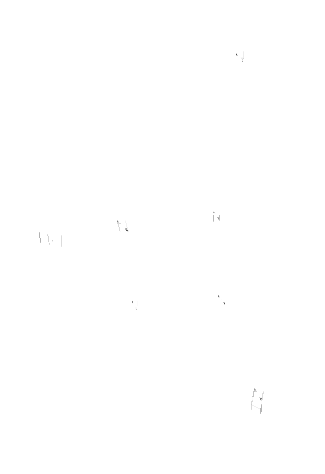 Cl.c1cc(-c2cnc(N3CCCC3)c(N3CCCNCC3)n2)ccn1